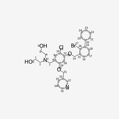 OCCN(CCO)Cc1cc(Cl)c(OCc2cccc(-c3ccccc3)c2Br)cc1OCc1cccnc1